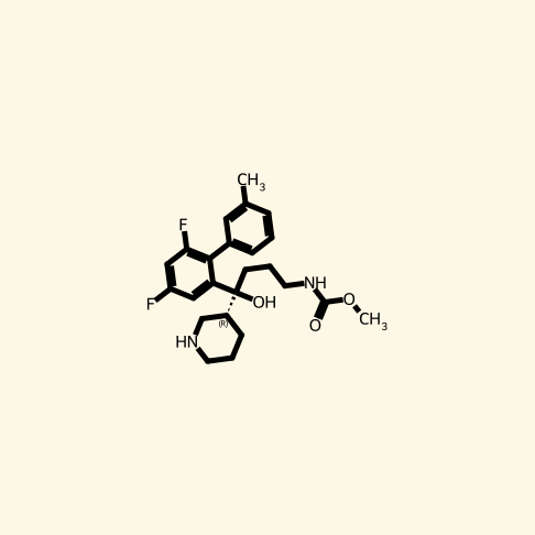 COC(=O)NCCCC(O)(c1cc(F)cc(F)c1-c1cccc(C)c1)[C@@H]1CCCNC1